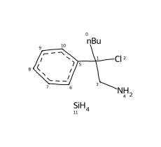 CCCCC(Cl)(CN)c1ccccc1.[SiH4]